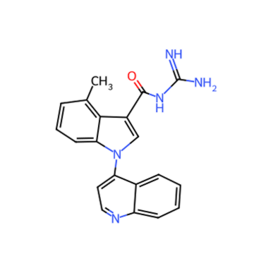 Cc1cccc2c1c(C(=O)NC(=N)N)cn2-c1ccnc2ccccc12